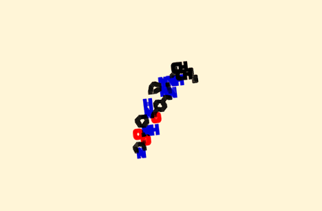 CC(C)CNc1nc2ccccc2n2c(-c3ccc(C(=O)Nc4cccc(NC(=O)Oc5cccnc5)c4)cc3)cnc12